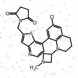 CN1CC(N2CCCc3cc(Cl)cc(-c4ccnc5cc(CN6C(=O)CCC6=O)sc45)c32)C1